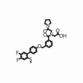 CSc1cc(F)c(F)cc1-c1ccc(OCc2cccc(C(=O)N(CC(=O)O)CC(=O)N3CCCC3)c2)cc1